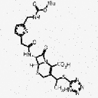 CC(Sc1nnn[nH]1)C1=C(C(=O)O)N2C(=O)[C@@H](NC(=O)Cc3ccc(CNC(=O)OC(C)(C)C)s3)[C@@H]2SC1